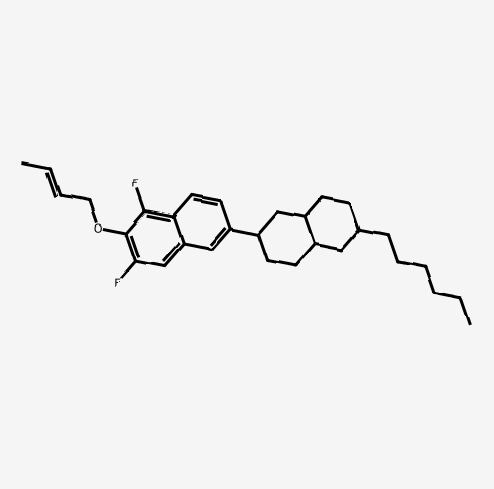 C/C=C/COc1c(F)cc2cc(C3CCC4CC(CCCCCC)CCC4C3)ccc2c1F